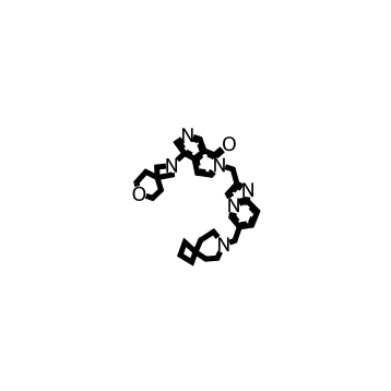 O=c1c2cncc(N3CC4(CCOCC4)C3)c2ccn1Cc1cn2cc(CN3CCC4(CCC4)CC3)ccc2n1